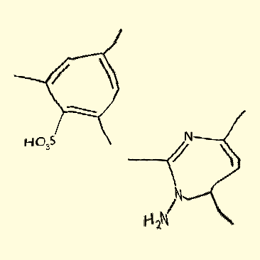 CC1=CC(C)N(N)C(C)=N1.Cc1cc(C)c(S(=O)(=O)O)c(C)c1